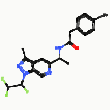 Cc1nn(C(F)C(F)F)c2cnc(C(C)NC(=O)Cc3ccc(C(C)C)cc3)cc12